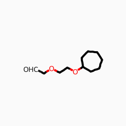 O=CCOCCOC1CCCCCC1